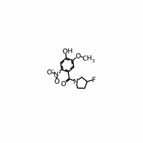 COc1cc(C(=O)N2CCC(F)C2)c([N+](=O)[O-])cc1O